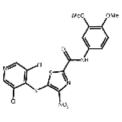 COc1ccc(NC(=O)c2nc([N+](=O)[O-])c(Sc3c(Cl)cncc3Cl)s2)cc1OC